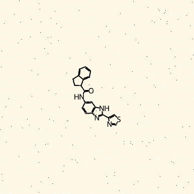 O=C(Nc1ccc2nc(-c3cscn3)[nH]c2c1)C1CCc2ccccc21